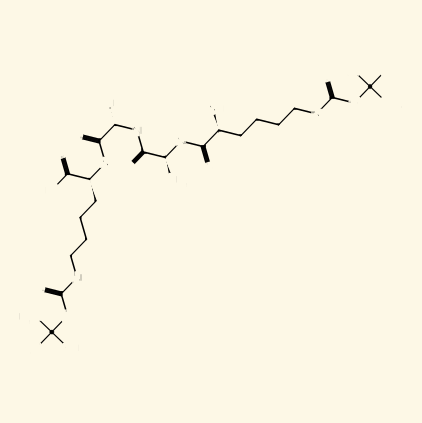 C[C@H](NC(=O)[C@H](C)NC(=O)[C@@H](N)CCCCNC(=O)OC(C)(C)C)C(=O)N[C@@H](CCCCNC(=O)OC(C)(C)C)C(=O)O